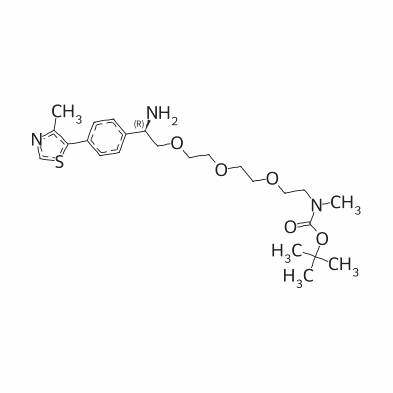 Cc1ncsc1-c1ccc([C@@H](N)COCCOCCOCCN(C)C(=O)OC(C)(C)C)cc1